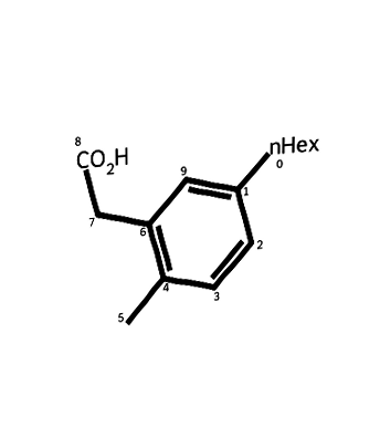 CCCCCCc1ccc(C)c(CC(=O)O)c1